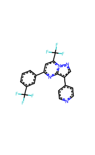 FC(F)(F)c1cccc(-c2cc(C(F)(F)F)n3ncc(-c4ccncc4)c3n2)c1